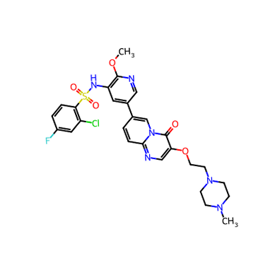 COc1ncc(-c2ccc3ncc(OCCN4CCN(C)CC4)c(=O)n3c2)cc1NS(=O)(=O)c1ccc(F)cc1Cl